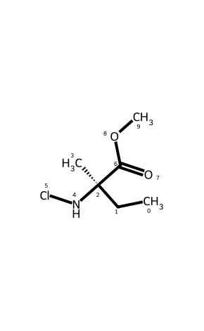 CC[C@@](C)(NCl)C(=O)OC